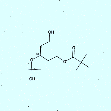 CC(C)(O)O[C@@H](CCO)CCOC(=O)C(C)(C)C